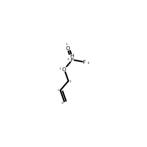 C=CCO[PH](=O)F